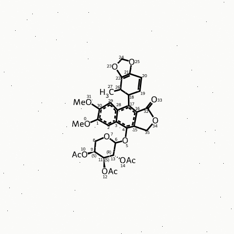 COc1cc2c(OC3OC[C@H](OC(C)=O)[C@H](OC(C)=O)[C@H]3OC(C)=O)c3c(c(C4C=CC5=C(OCO5)C4C)c2cc1OC)C(=O)OC3